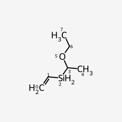 C=C[SiH2]C(C)OCC